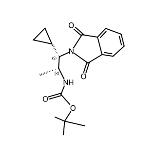 C[C@@H](NC(=O)OC(C)(C)C)[C@H](C1CC1)N1C(=O)c2ccccc2C1=O